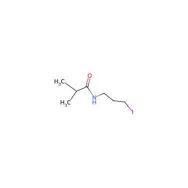 CC(C)C(=O)NCCCI